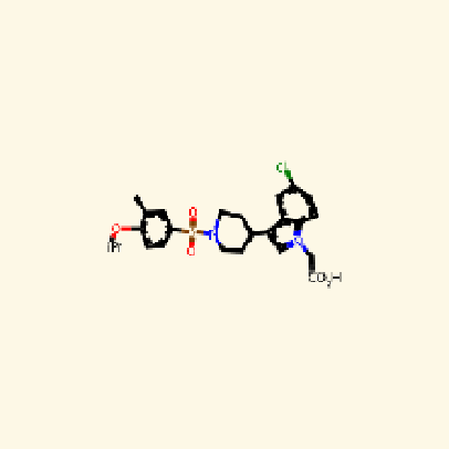 Cc1cc(S(=O)(=O)N2CCC(c3cn(CC(=O)O)c4ccc(Cl)cc34)CC2)ccc1OC(C)C